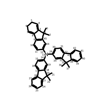 CC1(C)C2=CCCC=C2c2ccc(N(c3ccc4c(c3)C(C)(C)c3ccccc3-4)c3ccc4c(c3)C(C)(C)c3ccccc3-4)cc21